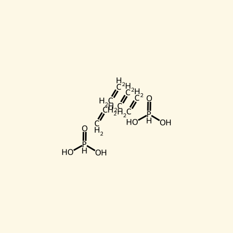 C=C.C=C.C=C.C=C.O=[PH](O)O.O=[PH](O)O